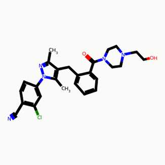 Cc1nn(-c2ccc(C#N)c(Cl)c2)c(C)c1Cc1ccccc1C(=O)N1CCN(CCO)CC1